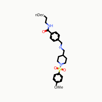 CCCCCCCCCCCCNC(=O)c1ccc(C[N]CC2CCN(S(=O)(=O)c3ccc(OC)cc3)CC2)cc1